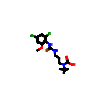 COc1cc(Cl)cc(Cl)c1NC(=S)NCCCN(C(=O)O)C(C)(C)C